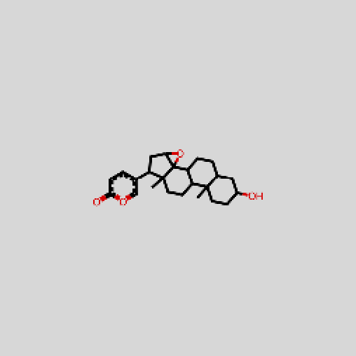 CC12CCC(O)CC1CCC1C2CCC2(C)C(c3ccc(=O)oc3)CC3OC312